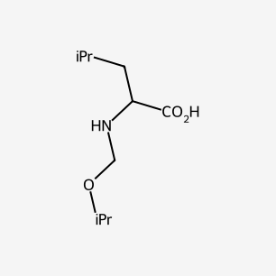 CC(C)CC(NCOC(C)C)C(=O)O